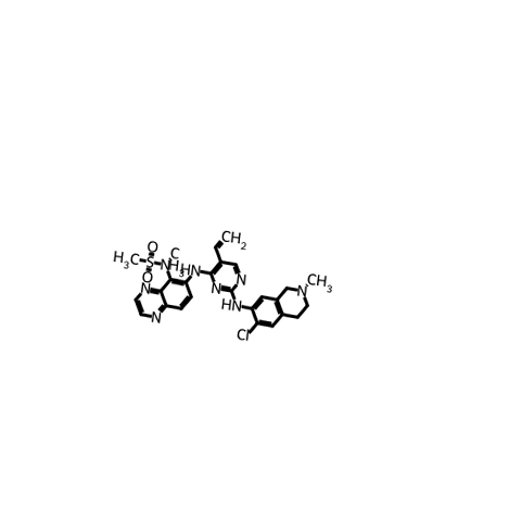 C=Cc1cnc(Nc2cc3c(cc2Cl)CCN(C)C3)nc1Nc1ccc2nccnc2c1N(C)S(C)(=O)=O